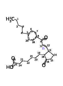 CCCCCc1ccc(C(=O)/C=C/C2CCC(=O)C2CCCCCCC(=O)O)cc1